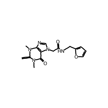 C=C1N(C)C(=O)c2c(ncn2CC(=O)NCc2ccco2)N1C